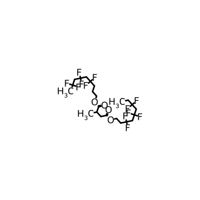 CCC(F)(F)CC(F)(F)CC(F)(F)CCOC(=O)CC(C)C(=O)OCCCC(F)(F)CC(F)(F)CC(C)(F)F